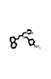 Nc1ccc(CSC(CCc2cccc3ccccc23)Cn2ccnc2)cc1